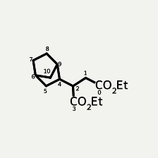 CCOC(=O)CC(C(=O)OCC)C1CC2CCC1C2